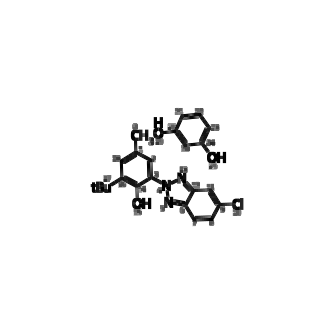 Cc1cc(-n2nc3ccc(Cl)cc3n2)c(O)c(C(C)(C)C)c1.Oc1cccc(O)c1